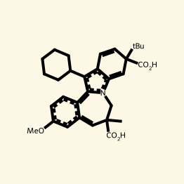 COc1ccc2c(c1)=CC(C)(C(=O)O)Cn1c3c(c(C4CCCCC4)c1=2)C=CC(C(=O)O)(C(C)(C)C)C=3